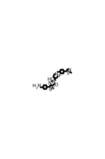 Cc1ncc(-c2ccc(CN3CCC(O)(Cn4cnc5c(-c6ccc(CN)cc6)n(C)nc5c4=O)CC3)c(F)c2)s1